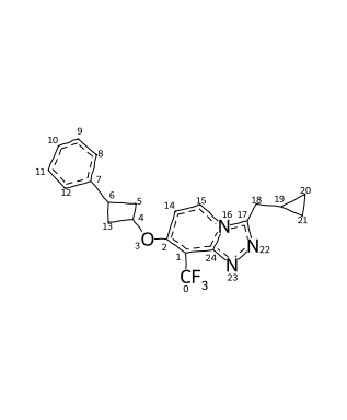 FC(F)(F)c1c(OC2CC(c3ccccc3)C2)ccn2c(CC3CC3)nnc12